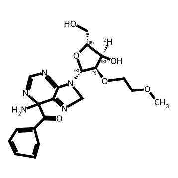 [2H][C@@]1(O)[C@@H](CO)O[C@@H](N2CN=C3C2=NC=NC3(N)C(=O)c2ccccc2)[C@@H]1OCCOC